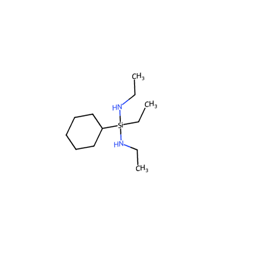 CCN[Si](CC)(NCC)C1CCCCC1